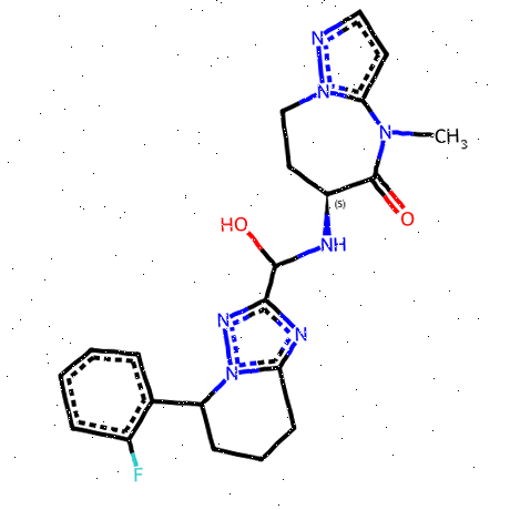 CN1C(=O)[C@@H](NC(O)c2nc3n(n2)C(c2ccccc2F)CCC3)CCn2nccc21